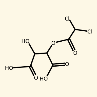 O=C(OC(C(=O)O)C(O)C(=O)O)C(Cl)Cl